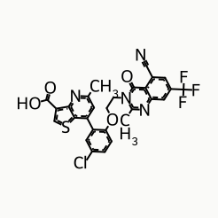 Cc1cc(-c2cc(Cl)ccc2OCCn2c(C)nc3cc(C(F)(F)F)cc(C#N)c3c2=O)c2scc(C(=O)O)c2n1